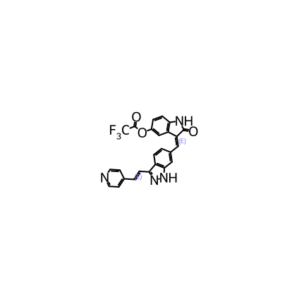 O=C1Nc2ccc(OC(=O)C(F)(F)F)cc2/C1=C\c1ccc2c(/C=C/c3ccncc3)n[nH]c2c1